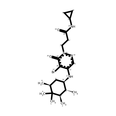 C[C@@H]1[C@@H](C)C(C)(C)[C@@H](C)C[C@H]1Nc1cnn(CCC(=O)NC2CC2)c(=O)c1Br